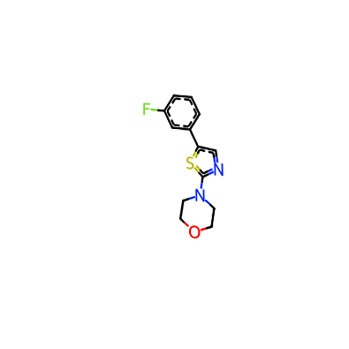 Fc1cccc(-c2cnc(N3CCOCC3)s2)c1